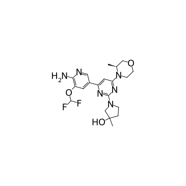 C[C@H]1COCCN1c1cc(-c2cnc(N)c(OC(F)F)c2)nc(N2CCC(C)(O)C2)n1